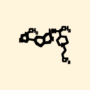 C=C(Nc1cc2cc(-c3cncn3C)ccc2cn1)C1CCN(CCC(F)(F)F)CC1